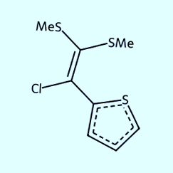 CSC(SC)=C(Cl)c1cccs1